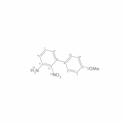 COc1ccc(-c2cccc(N)c2[N+](=O)[O-])cc1